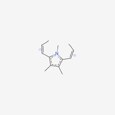 C/C=C\c1c(C)c(C)c(/C=C\C)n1C